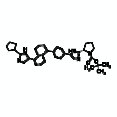 CC(C)(C)OC(=O)N1CCC[C@H]1c1ncc(-c2ccc(-c3cccc4c(-c5cnc(C6CCCC6)[nH]5)cccc34)cc2)[nH]1